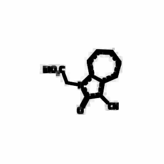 CCOC(=O)Cn1c2cccccc-2c(C#N)c1=O